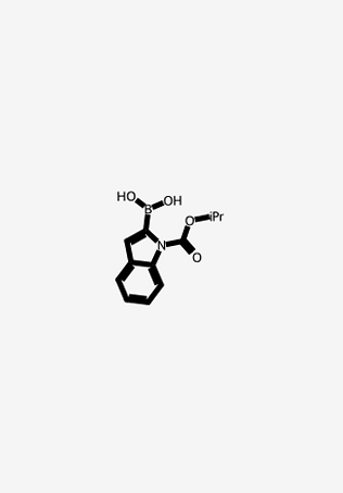 CC(C)OC(=O)n1c(B(O)O)cc2ccccc21